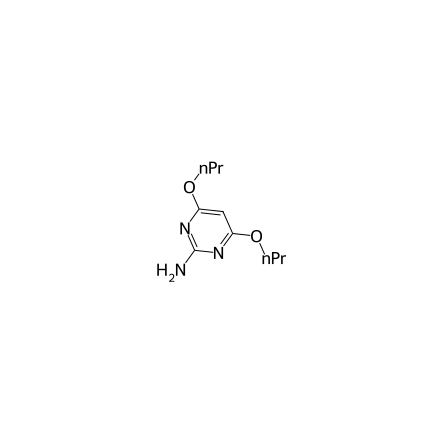 CCCOc1cc(OCCC)nc(N)n1